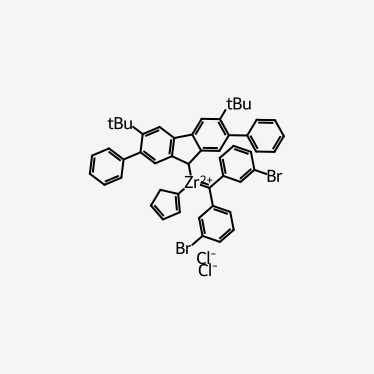 CC(C)(C)c1cc2c(cc1-c1ccccc1)[CH]([Zr+2]([C]1=CC=CC1)=[C](c1cccc(Br)c1)c1cccc(Br)c1)c1cc(-c3ccccc3)c(C(C)(C)C)cc1-2.[Cl-].[Cl-]